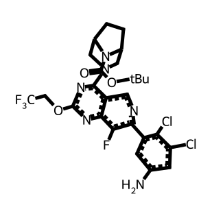 CC(C)(C)OC(=O)N1C2CCC1CN(c1nc(OCC(F)(F)F)nc3c(F)c(-c4cc(N)cc(Cl)c4Cl)ncc13)C2